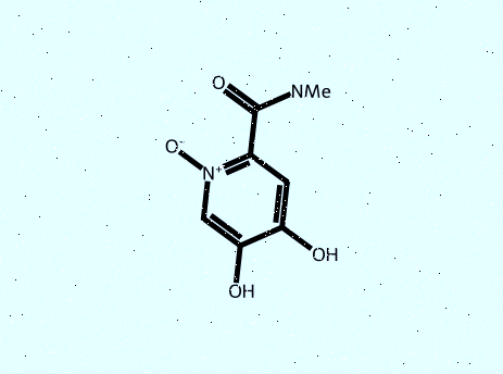 CNC(=O)c1cc(O)c(O)c[n+]1[O-]